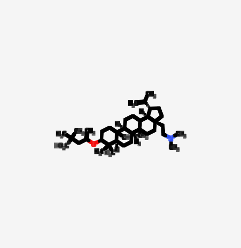 C=C(CC(C)(C)C(=O)O)O[C@H]1CC[C@]2(C)[C@H]3CCC4[C@H]5[C@H](C(=C)C)CC[C@]5(CCN(C)C)CC[C@@]4(C)[C@]3(C)CC[C@H]2C1(C)C